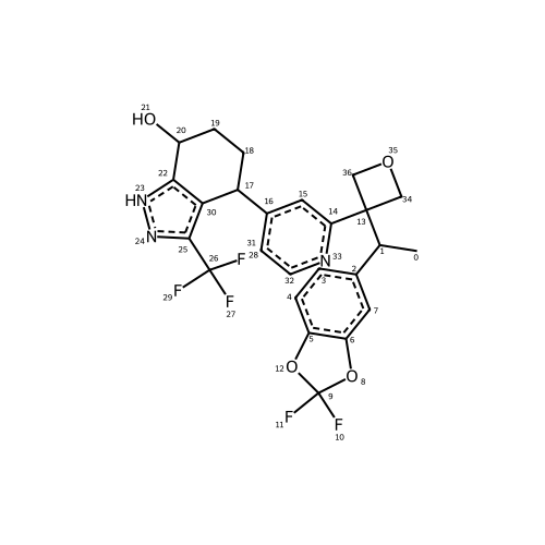 CC(c1ccc2c(c1)OC(F)(F)O2)C1(c2cc(C3CCC(O)c4[nH]nc(C(F)(F)F)c43)ccn2)COC1